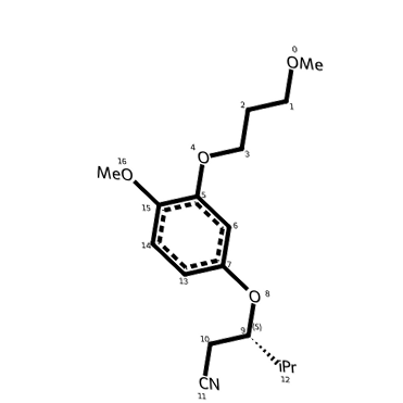 COCCCOc1cc(O[C@@H](CC#N)C(C)C)ccc1OC